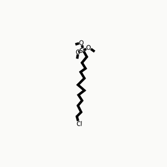 CO[Si](CCCCCCCCCCCCCl)(OC)OC